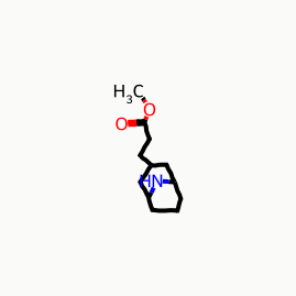 COC(=O)CCC1CC2CCCC(C1)N2